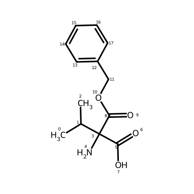 CC(C)C(N)(C(=O)O)C(=O)OCc1ccccc1